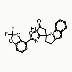 O=C(O)CC1(c2noc(-c3cccc4c3OC(F)(F)O4)n2)CCc2cc3ccccc3n21